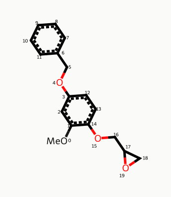 COc1cc(OCc2ccccc2)ccc1OCC1CO1